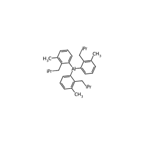 Cc1ccc[c]([Al]([c]2cccc(C)c2CC(C)C)[c]2cccc(C)c2CC(C)C)c1CC(C)C